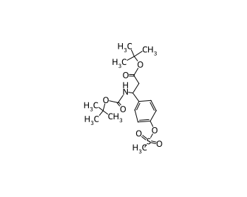 CC(C)(C)OC(=O)CC(NC(=O)OC(C)(C)C)c1ccc(OS(C)(=O)=O)cc1